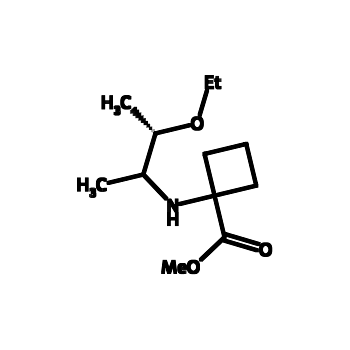 CCO[C@@H](C)C(C)NC1(C(=O)OC)CCC1